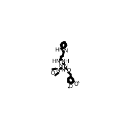 COc1ccc(CCOc2nc(NC(=N)/C=C/c3nc4ccccc4[nH]3)nc(N3CCOCC3)n2)cc1OC